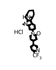 Cl.Cn1c2c(c3ccc(-n4ccc(-c5ccc(C(F)(F)F)nc5)cc4=O)cc31)C1CCCC(C2)N1